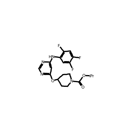 CC(C)OC(=O)N1CCC(Oc2cc(Nc3cc(F)c(F)cc3F)ncn2)CC1